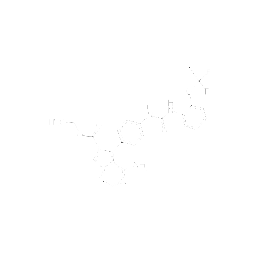 CCOC(=O)c1cn2ncnc(N)c2c1-c1ccc(NC(=O)Nc2ccccc2OC(F)(F)F)cc1